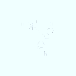 C[Si](C)(C)CCOCn1c(-c2ccnc(C#N)c2)cc2cnc(Cl)cc21